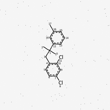 [CH2]C(C)(Cc1ccc(Cl)cc1Cl)c1cccc(C)c1